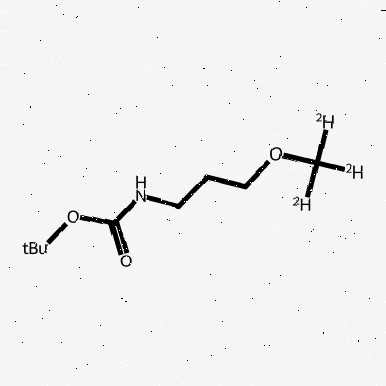 [2H]C([2H])([2H])OCCCNC(=O)OC(C)(C)C